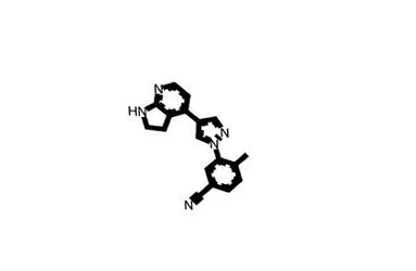 Cc1ccc(C#N)cc1-n1cc(-c2ccnc3c2CCN3)cn1